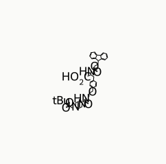 CC(C)(C)OC(=O)CN1CCN(C(=O)NCCOc2ccc(CC(NC(=O)OCC3c4ccccc4-c4ccccc43)C(=O)O)cc2)CC1